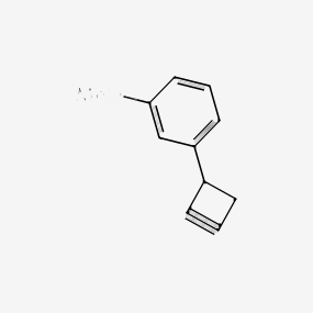 COc1cccc(C2C#CC2)c1